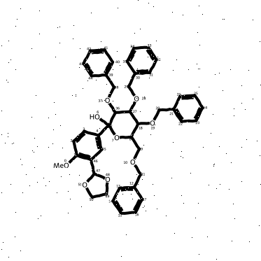 COc1ccc(C2(O)OC(COCc3ccccc3)C(OCc3ccccc3)C(OCc3ccccc3)C2OCc2ccccc2)cc1C1OCCO1